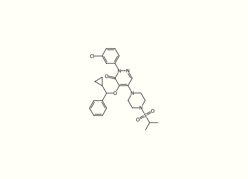 CC(C)S(=O)(=O)N1CCN(c2cnn(-c3cccc(Cl)c3)c(=O)c2OC(c2ccccc2)C2CC2)CC1